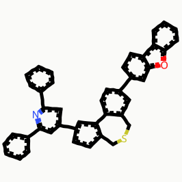 c1ccc(-c2cc(-c3ccc4c(c3)-c3ccc(-c5ccc6c(c5)oc5ccccc56)cc3CSC4)cc(-c3ccccc3)n2)cc1